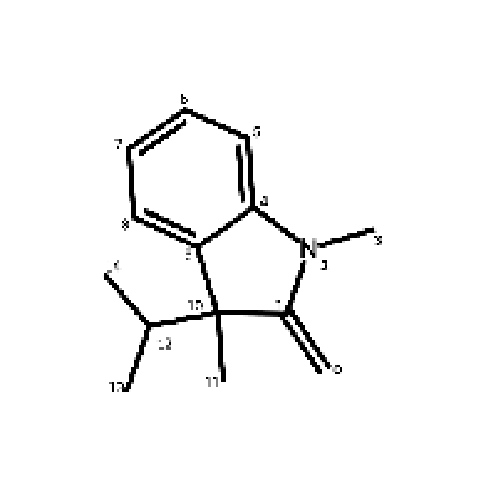 C=C1N(C)c2ccccc2C1(C)C(C)C